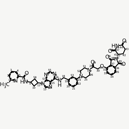 Cc1cccc(C(=O)NC2CC(n3cnc4c(NCc5cccc(N6CCN(C(=O)COc7cccc8c7C(=O)N([C@H]7CCC(=O)NC7=O)C8=O)CC6)c5)ncnc43)C2)n1